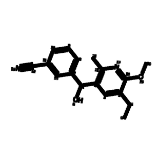 CCc1cc(C(O)c2cccc(C#N)c2)c(C)nc1OC